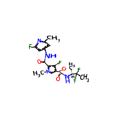 Cc1cc(NC(=O)c2c(F)c(S(=O)(=O)N[C@H](C)C(C)(F)F)cn2C)cc(F)n1